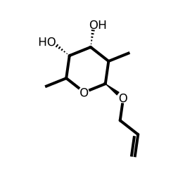 C=CCO[C@H]1OC(C)[C@H](O)[C@H](O)C1C